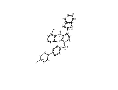 Cc1cccc(C)c1Nc1nc(Nc2ccc(N3CCN(C)CC3)cc2)ncc1-c1nc2ccccc2[nH]1